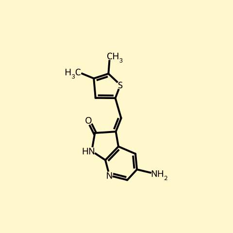 Cc1cc(C=C2C(=O)Nc3ncc(N)cc32)sc1C